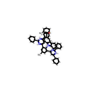 N#Cc1cc(-c2cc(-c3ccccc3)nc(-c3ccccc3)n2)c(-n2c3ccccc3c3cc(-c4ccccc4C#N)ccc32)c(-c2cc(-c3ccccc3)nc(-c3ccccc3)n2)c1